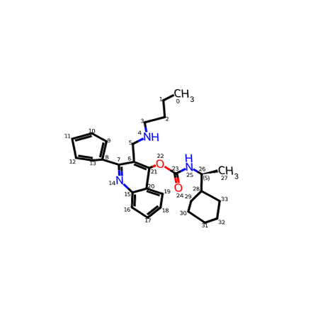 CCCCNCc1c(-c2ccccc2)nc2ccccc2c1OC(=O)N[C@@H](C)C1CCCCC1